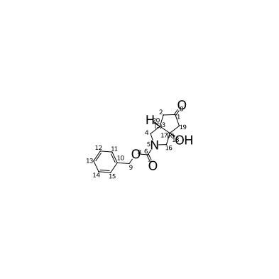 O=C1C[C@H]2CN(C(=O)OCc3ccccc3)C[C@@]2(O)C1